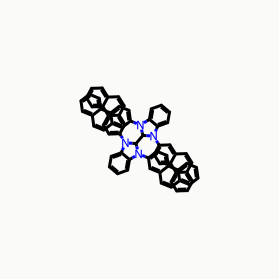 c1ccc2c(c1)N(c1ccc3c(ccc4ccccc43)c1)C(C1N(c3ccc4c(ccc5ccccc54)c3)c3ccccc3N1c1ccc3c(ccc4ccccc43)c1)N2c1ccc2c(ccc3ccccc32)c1